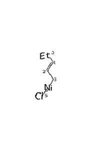 CCC=C[CH2][Ni][Cl]